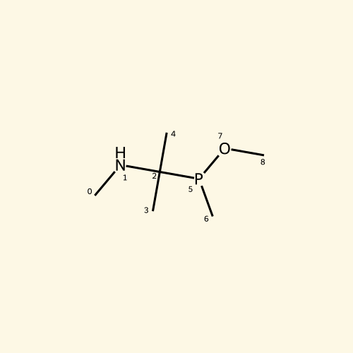 CNC(C)(C)P(C)OC